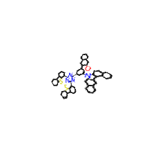 c1ccc2cc3c(cc2c1)oc1c(-n2c4cc5ccccc5cc4c4c5ccccc5ccc42)cc(-c2nc(-c4cccc5c4sc4ccccc45)nc(-c4cccc5c4sc4ccccc45)n2)cc13